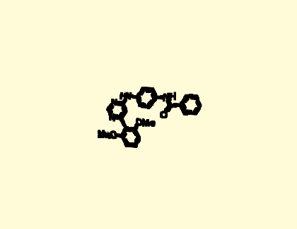 COc1cccc(OC)c1-c1cc(Nc2ccc(NC(=O)c3ccccc3)cc2)ncn1